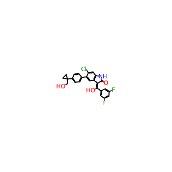 O=C1Nc2cc(Cl)c(-c3ccc(C4(CO)CC4)cc3)cc2C1=C(O)c1cc(F)cc(F)c1